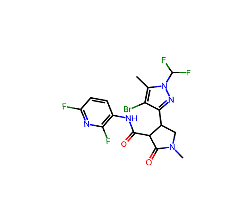 Cc1c(Br)c(C2CN(C)C(=O)C2C(=O)Nc2ccc(F)nc2F)nn1C(F)F